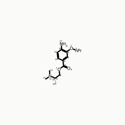 CCCOc1cc(C(=O)OC[C@H](C)N(C)C)ccc1N